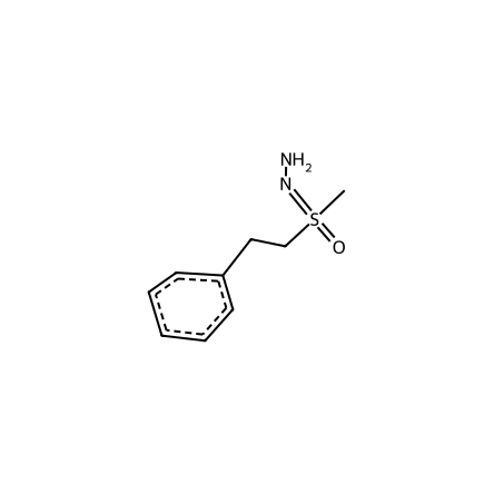 CS(=O)(CCc1ccccc1)=NN